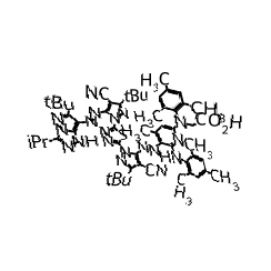 Cc1cc(C)c(Nc2nc(N(CC(=O)O)c3c(C)cc(C)cc3C)cc(C)c2N=Nc2c(C#N)c(C(C)(C)C)nn2-c2nnc(-n3nc(C(C)(C)C)c(C#N)c3N=Nc3c(C(C)(C)C)nn4c(C(C)C)n[nH]c34)s2)c(C)c1